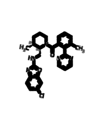 Cc1cccc(C(=O)N2CCC[C@@H](C)[C@H]2CNc2nc3ccc(Cl)cc3o2)c1-c1ncccn1